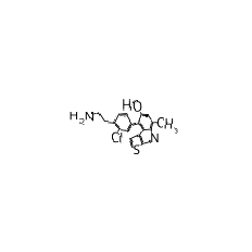 Cc1cc(O)c(-c2ccc(CCN)c(Cl)c2)c2c1ncc1sccc12